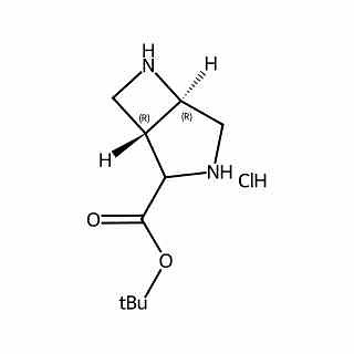 CC(C)(C)OC(=O)C1NC[C@@H]2NC[C@@H]12.Cl